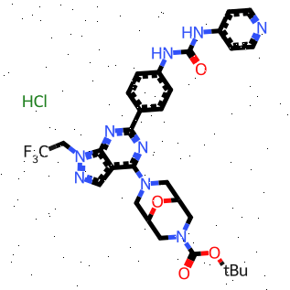 CC(C)(C)OC(=O)N1CC2CN(c3nc(-c4ccc(NC(=O)Nc5ccncc5)cc4)nc4c3cnn4CC(F)(F)F)CC(C1)O2.Cl